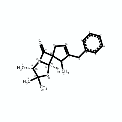 CC1C(Cc2ccccc2)=CCC12C(=O)N1[C@@H](C)C(C)(C)S[C@@H]12